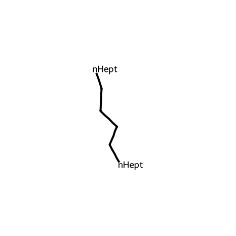 CCCCC[CH]CCCCCCCCCCCC